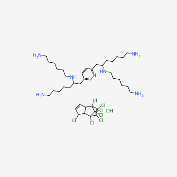 Cl.ClC1=C(Cl)C2(Cl)C3C(Cl)C=CC3C1(Cl)C2(Cl)Cl.NCCCCCCNC(CCCCCN)Cc1ccc(CC(CCCCCN)NCCCCCCN)nc1